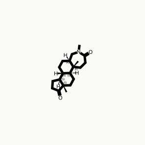 CN1C[C@@H]2CC[C@@H]3[C@H](CC[C@]4(C)C(=O)CC[C@@H]34)[C@@]2(C)CCC1=O